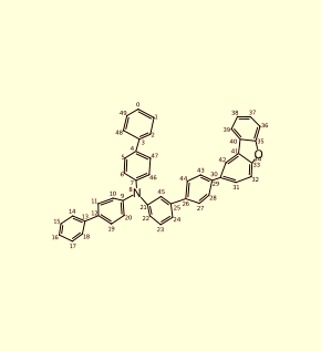 c1ccc(-c2ccc(N(c3ccc(-c4ccccc4)cc3)c3cccc(-c4ccc(-c5ccc6oc7ccccc7c6c5)cc4)c3)cc2)cc1